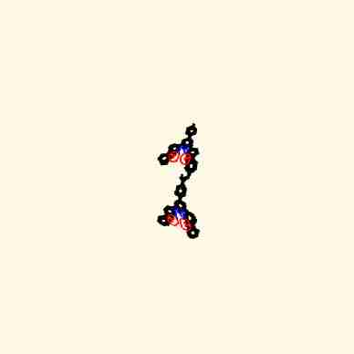 Cc1ccc(-c2cc3c4ccc5c6ccccc6oc5c4n4c3c(c2)c2ccc3c5ccc(CC(C)c6ccc(-c7cc8c9ccc%10c%11ccccc%11oc%10c9n9c8c(c7)c7ccc8c%10ccccc%10oc8c79)cc6)cc5oc3c24)cc1